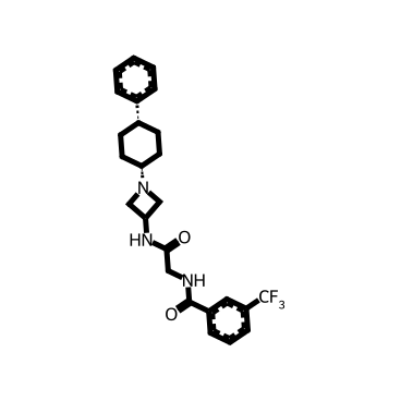 O=C(CNC(=O)c1cccc(C(F)(F)F)c1)NC1CN([C@H]2CC[C@@H](c3ccccc3)CC2)C1